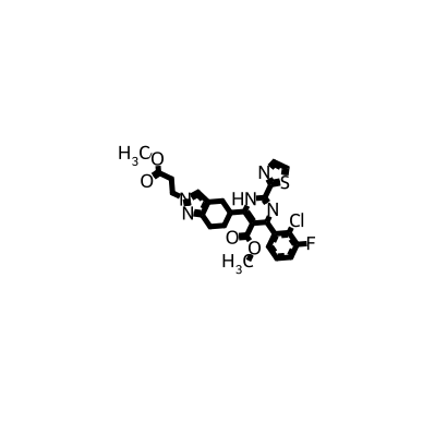 COC(=O)CCn1cc2c(n1)CCC(C1=C(C(=O)OC)C(c3cccc(F)c3Cl)N=C(c3nccs3)N1)C2